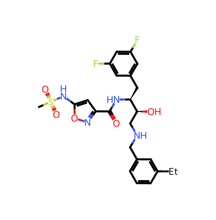 CCc1cccc(CNC[C@H](O)[C@H](Cc2cc(F)cc(F)c2)NC(=O)c2cc(NS(C)(=O)=O)on2)c1